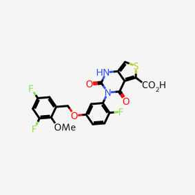 COc1c(F)cc(F)cc1COc1ccc(F)c(-n2c(=O)[nH]c3csc(C(=O)O)c3c2=O)c1